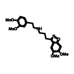 COc1ccc(CCNCCCc2noc3cc(OC)c(OC)cc23)cc1OC